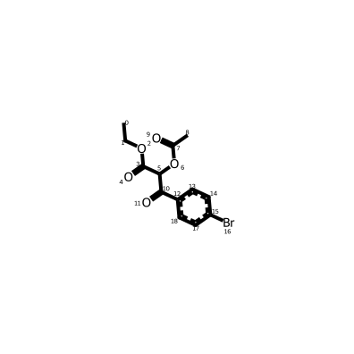 CCOC(=O)C(OC(C)=O)C(=O)c1ccc(Br)cc1